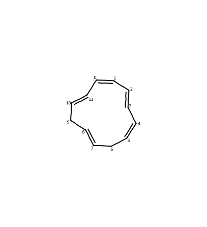 [C]1=C\C=C\C=C/C/C=C/C/C=C/1